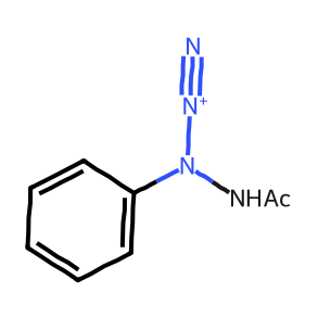 CC(=O)NN([N+]#N)c1ccccc1